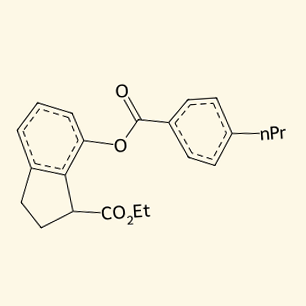 CCCc1ccc(C(=O)Oc2cccc3c2C(C(=O)OCC)CC3)cc1